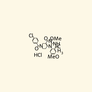 COc1ccc([C@H](C)Nc2nc3c(c(=O)n2OC)CN(C(=O)c2ccc(Cl)cc2)CC3)cc1.Cl